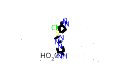 Cn1cc2c(Cl)c(Sc3cnc(N4CCC(C)(NC(=O)O)CC4)cn3)ccc2n1